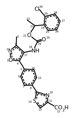 Cc1noc(-c2ccc(-c3nc(C(=O)O)cs3)cc2)c1NC(=O)OC(C)c1ccccc1Cl